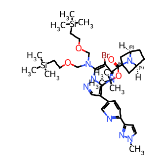 Cn1ccc(-c2ccc(-c3cnn4c(N(COCC[Si](C)(C)C)COCC[Si](C)(C)C)c(Br)c([C@H]5C[C@H]6CC[C@@H](C5)N6C(=O)OC(C)(C)C)nc34)cn2)n1